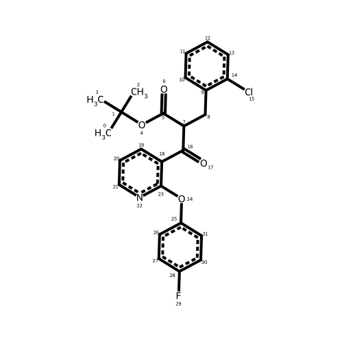 CC(C)(C)OC(=O)C(Cc1ccccc1Cl)C(=O)c1cccnc1Oc1ccc(F)cc1